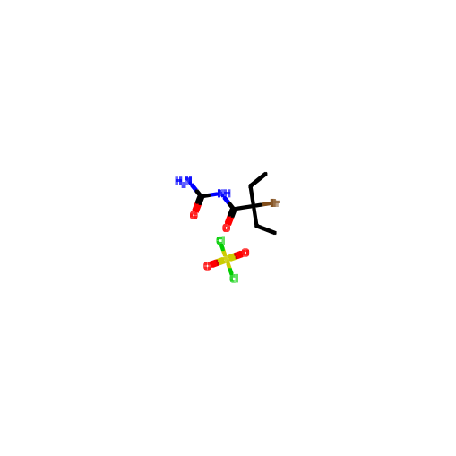 CCC(Br)(CC)C(=O)NC(N)=O.O=S(=O)(Cl)Cl